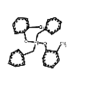 Cc1ccccc1[O][Hf]([CH2]c1ccccc1)([CH2]c1ccccc1)[O]c1ccccc1C